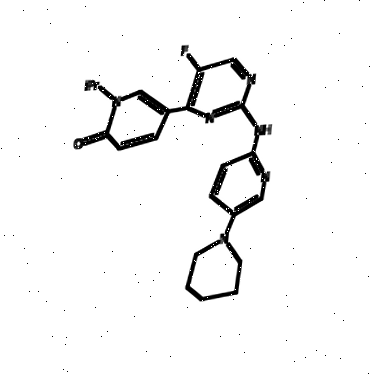 CC(C)n1cc(-c2nc(Nc3ccc(N4CCCCC4)cn3)ncc2F)ccc1=O